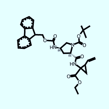 C=CC1CC1(NC(=O)[C@@H]1C[C@@H](NC(=O)OCC2c3ccccc3-c3ccccc32)CN1C(=O)OC(C)(C)C)C(=O)OCC